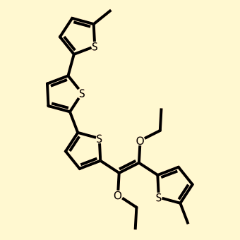 CCO/C(=C(/OCC)c1ccc(-c2ccc(-c3ccc(C)s3)s2)s1)c1ccc(C)s1